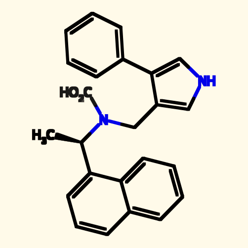 C[C@H](c1cccc2ccccc12)N(Cc1c[nH]cc1-c1ccccc1)C(=O)O